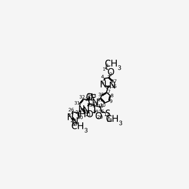 CCOc1cnc(-c2cccc(N(F)[C@](CCSC)(C(=O)O)c3nn(-c4cnn(C)c4)ccc3=O)c2)nc1